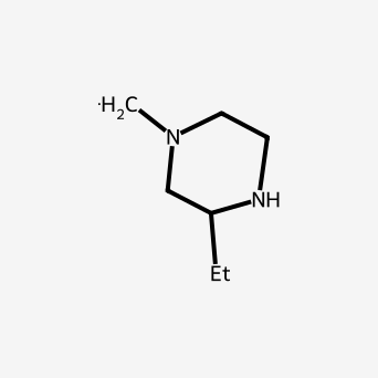 [CH2]N1CCNC(CC)C1